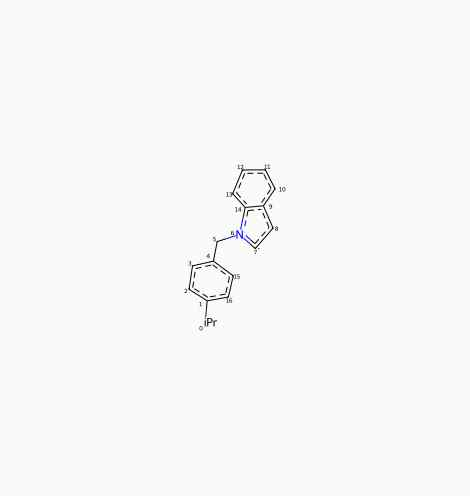 CC(C)c1ccc(Cn2[c]cc3ccccc32)cc1